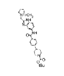 C[C@H]1CCCN1Cc1nc2cc(NC(=O)c3ccc(C4CCN(C(=O)OC(C)(C)C)CC4)cc3)ccc2[nH]1